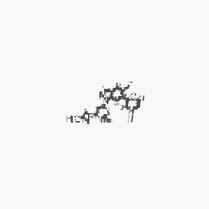 Cc1nc(N2CC(O)C2)cc(-n2ncc3cc(C)c(C4CNCCO4)cc32)n1